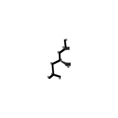 CNC[C@H](O)CC(C)C